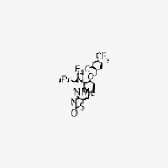 CNC1=NC(=O)SC1=Cc1ccc(OCc2ccc(C(F)(F)F)cc2C(F)(F)F)c(NCC(C)C)c1